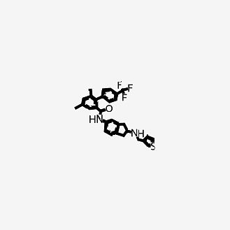 Cc1cc(C)c(-c2ccc(C(F)(F)F)cc2)c(C(=O)Nc2ccc3c(c2)CC(NCc2ccsc2)C3)c1